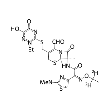 [2H]C([2H])(C)O/N=C(\C(=O)N[C@]1(C)C(=O)N2C(C=O)=C(CSc3nc(=O)c(O)nn3CC)CS[C@@]21C)c1csc(NC)n1